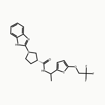 CC(NC(=O)[C@@H]1CCN(c2nc3ccccc3[nH]2)C1)c1ccc(OCC(F)(F)F)s1